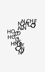 CN(Cc1cccc(F)c1)c1ncnc2c1ncn2C[C@@H]1O[C@H](COC(=S)Nc2ccc3nccnc3c2Br)[C@@H](O)[C@H]1O